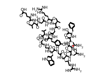 CC(C)[C@H](NC(=O)[C@H](CCCNC(=N)N)NC(=O)CNC(=O)[C@@H](NC(=O)[C@@H](N)CCC(=O)O)C(C)C)C(=O)NCC(=O)N[C@@H](Cc1ccc(O)cc1)C(=O)N[C@H](C(=O)N[C@@H](CO)C(=O)NCC(=O)N[C@@H](Cc1c[nH]c2ccccc12)C(=O)NCC(=O)N[C@@H](CCCNC(=N)N)C(=O)N[C@@H](CC(N)=O)C(=O)N[C@@H](C)C(=O)N[C@@H](CC(N)=O)C(=O)N[C@@H](Cc1ccccc1)C(=O)O)C(C)C